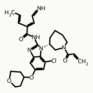 C=CC(=O)N1CCCC[C@@H](n2c(NC(=O)C(/C=C/C)=C/C=N)nc3cc(OC4CCOCC4)cc(Cl)c32)C1